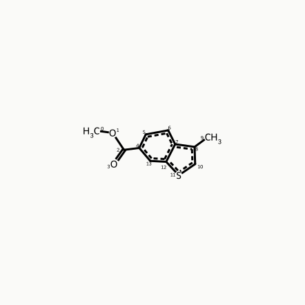 COC(=O)c1ccc2c(C)csc2c1